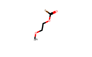 CCCOCCOC(=O)[S]